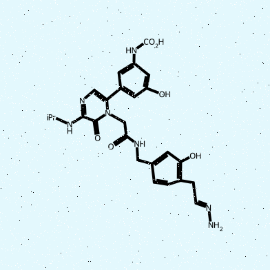 CC(C)Nc1ncc(-c2cc(O)cc(NC(=O)O)c2)n(CC(=O)NCc2ccc(CC=NN)c(O)c2)c1=O